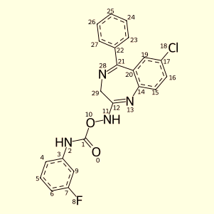 O=C(Nc1cccc(F)c1)ONC1=Nc2ccc(Cl)cc2C(c2ccccc2)=NC1